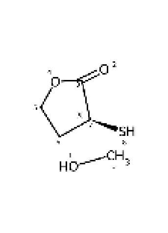 CO.O=C1OCC[C@@H]1S